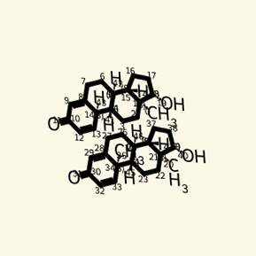 C[C@]12CC[C@H]3[C@@H](CCC4=CC(=O)C=C[C@@H]43)[C@@H]1CC[C@@H]2O.C[C@]12CC[C@H]3[C@@H](CCC4=CC(=O)C=C[C@@]43C)[C@@H]1CC[C@@H]2O